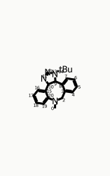 CN1Cc2ccccc2C2C(N=NN2C(C)(C)C)c2ccccc21